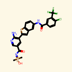 C[SH](C)(O)=NC(=O)c1cnc(N)c(-c2cc3cc(NC(=O)c4ccc(Cl)c(C(F)(F)F)c4)ccc3s2)c1